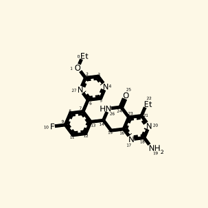 CCOc1cncc(-c2cc(F)ccc2C2Cc3nc(N)nc(CC)c3C(=O)N2)n1